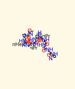 CCCCCC[C@H](NC(=O)[C@@H]1CCCN1C(=O)c1coc(C)n1)C(=O)N[C@@H](CC(C)C)C(=O)NC(C)(C)C(=O)N[C@@H](CC(C)C)C(=O)N[C@@H](CC(C)C)C(=O)NC(C)(C)C(=O)NC(C)(C)C(=O)NCCC(=O)NC1(CN(C)C)CCC1